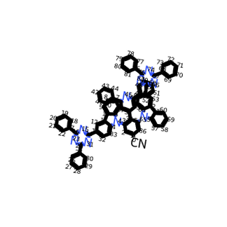 N#Cc1cc(-n2c3ccccc3c3cc(-c4nc(-c5ccccc5)nc(-c5ccccc5)n4)ccc32)c(-c2cc(-c3ccccc3)nc(-c3ccccc3)c2)c(-n2c3ccccc3c3cc(-c4nc(-c5ccccc5)nc(-c5ccccc5)n4)ccc32)c1